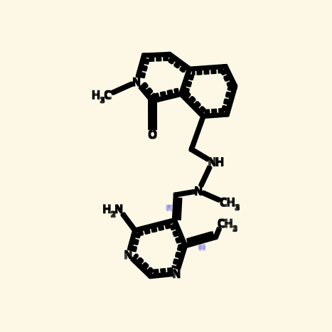 C/C=c1/ncnc(N)/c1=C/N(C)NCc1cccc2ccn(C)c(=O)c12